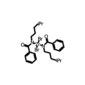 CC(C)CCC[N](C(=O)c1ccccc1)[Zr]([Br])([Br])[N](CCCC(C)C)C(=O)c1ccccc1